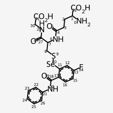 NC(CCC(=O)NC(CS[Se]c1cc(F)ccc1C(=O)Nc1ccccc1)C(=O)NCC(=O)O)C(=O)O